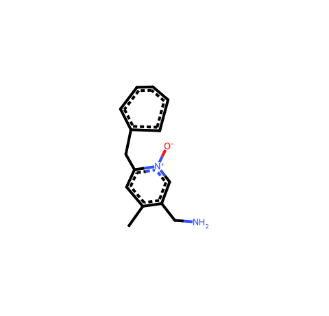 Cc1cc(Cc2ccccc2)[n+]([O-])cc1CN